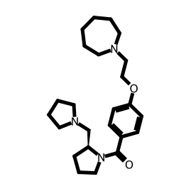 O=C(c1ccc(OCCN2CCCCCC2)cc1)N1CCC[C@H]1CN1CCCC1